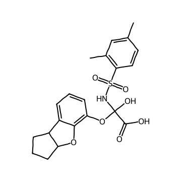 Cc1ccc(S(=O)(=O)NC(O)(Oc2cccc3c2OC2CCCC32)C(=O)O)c(C)c1